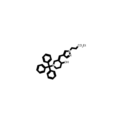 CCOC(=O)CCn1cc(C=C2CN(C(c3ccccc3)(c3ccccc3)c3ccccc3)CCC2O)cn1